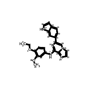 CCOc1ccc(Nc2nc(-c3ccc4cc[nH]c4c3)cn3ccnc23)cc1OC